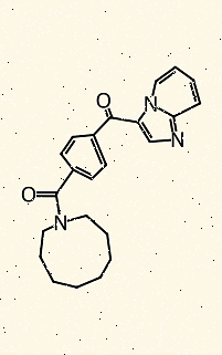 O=C(c1ccc(C(=O)N2CCCCCCCC2)cc1)c1cnc2ccccn12